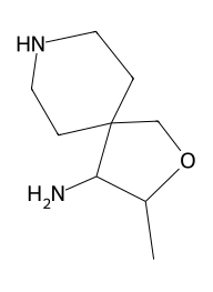 CC1OCC2(CCNCC2)C1N